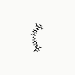 CCn1nc[n+](CC)c1N=Nc1ccc(NCCCNc2ccc(N=Nc3n(CC)nc[n+]3CC)cc2)cc1